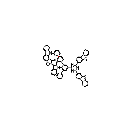 c1ccc(-c2cc(-c3nc(-c4ccc5c(c4)sc4ccccc45)nc(-c4ccc5c(c4)sc4ccccc45)n3)cc(-c3ccccc3)c2-n2c3ccccc3c3c4oc5ccc6c7ccccc7n(-c7ccccc7)c6c5c4ccc32)cc1